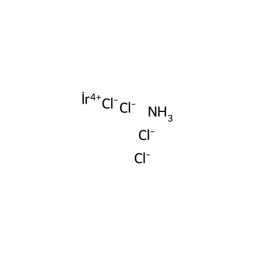 N.[Cl-].[Cl-].[Cl-].[Cl-].[Ir+4]